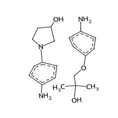 CC(C)(O)COc1ccc(N)cc1.Nc1ccc(N2CCC(O)C2)cc1